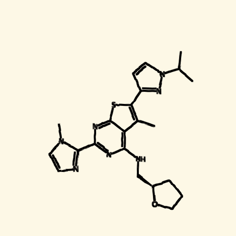 Cc1c(-c2ccn(C(C)C)n2)sc2nc(-c3nccn3C)nc(NC[C@H]3CCCO3)c12